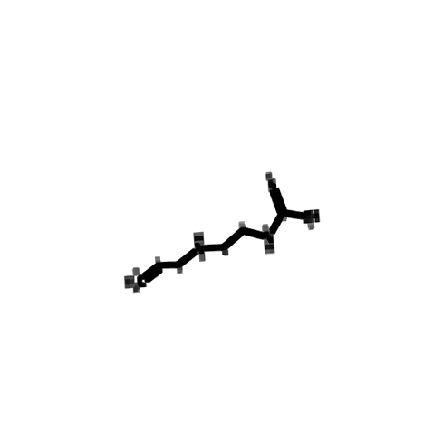 C=CCNCCNC(=S)S